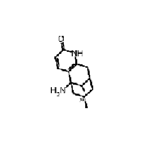 CC1C2Cc3[nH]c(=O)ccc3C1(N)C[C@H](C)C2